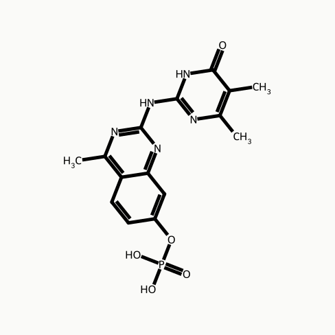 Cc1nc(Nc2nc(C)c3ccc(OP(=O)(O)O)cc3n2)[nH]c(=O)c1C